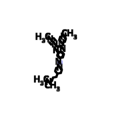 CN(C)CCCC1CCN(/C=N/c2ccc3nc(N4CCN(C)CC4)c(N4CCN(C)CC4)nc3c2)CC1